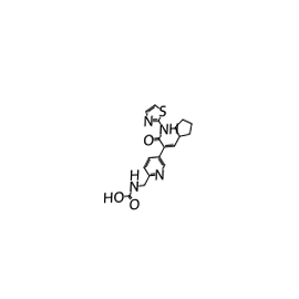 O=C(O)NCc1ccc(C(=CC2CCCC2)C(=O)Nc2nccs2)cn1